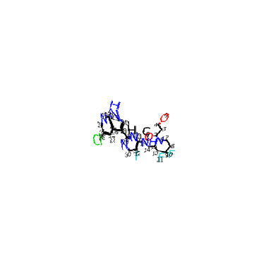 COC(CC=O)N1CCC(F)(F)CC1CNc1nc(-c2c[nH]c3ncc(Cl)cc23)ncc1F